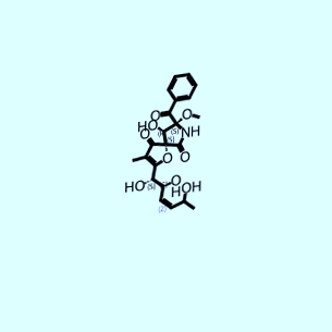 CO[C@@]1(C(=O)c2ccccc2)NC(=O)[C@]2(OC([C@@H](O)[C@@H](O)/C=C\C(C)O)=C(C)C2=O)[C@H]1O